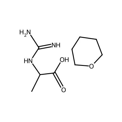 C1CCOCC1.CC(NC(=N)N)C(=O)O